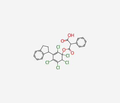 O=C(O)C(C(=O)OC1(Cl)C(Cl)=C(C2CCc3ccccc32)C(Cl)=C(Cl)C1Cl)c1ccccc1